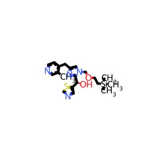 Cc1cnccc1Cc1cn(COCC[Si](C)(C)C)c([C@@H](O)c2cncs2)n1